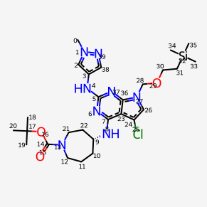 Cn1cc(Nc2nc(N[C@@H]3CCCN(C(=O)OC(C)(C)C)CC3)c3c(Cl)cn(COCC[Si](C)(C)C)c3n2)cn1